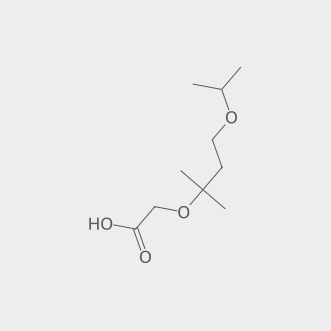 CC(C)OCCC(C)(C)OCC(=O)O